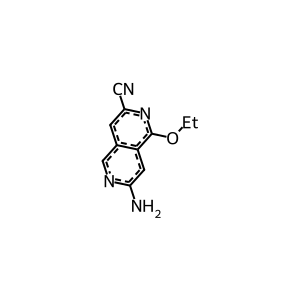 CCOc1nc(C#N)cc2cnc(N)cc12